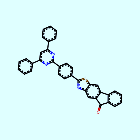 O=C1c2ccccc2-c2cc3sc(-c4ccc(-c5nc(-c6ccccc6)cc(-c6ccccc6)n5)cc4)nc3cc21